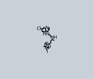 CC(CCC1OOC(C)(C)C(C)(CI)O1)NCCNc1ccnc2cc(Cl)ccc12